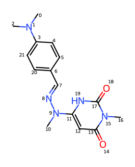 CN(C)c1ccc(/C=N/N(C)c2cc(=O)n(C)c(=O)[nH]2)cc1